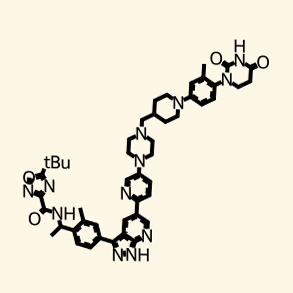 Cc1cc(-c2n[nH]c3ncc(-c4ccc(N5CCN(CC6CCN(c7ccc(N8CCC(=O)NC8=O)c(C)c7)CC6)CC5)cn4)cc23)ccc1C(C)NC(=O)c1noc(C(C)(C)C)n1